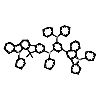 CC1(C)c2cc(N(c3ccccc3)c3cc(-c4cc5c6ccccc6n(-c6ccccc6)c5c5ccccc45)cc(N(c4ccccc4)c4ccccc4)c3)ccc2-c2ccc3c4ccccc4n(-c4ccccc4)c3c21